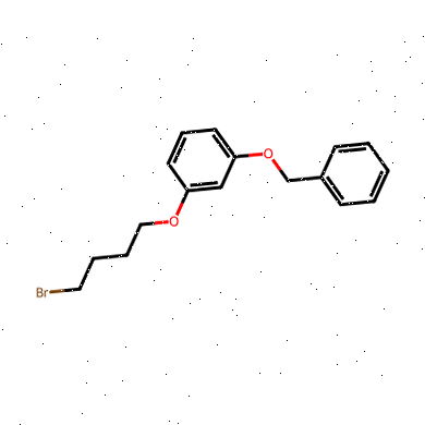 BrCCCCOc1cccc(OCc2ccccc2)c1